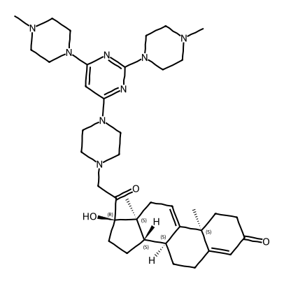 CN1CCN(c2cc(N3CCN(CC(=O)[C@@]4(O)CC[C@H]5[C@@H]6CCC7=CC(=O)CC[C@]7(C)C6=CC[C@@]54C)CC3)nc(N3CCN(C)CC3)n2)CC1